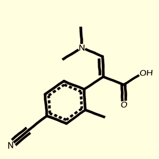 Cc1cc(C#N)ccc1/C(=C\N(C)C)C(=O)O